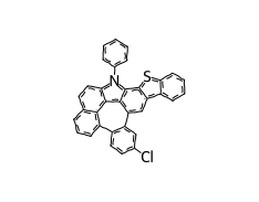 Clc1ccc2c(c1)-c1cc3c4ccccc4sc3c3c1c1c4c-2cccc4ccc1n3-c1ccccc1